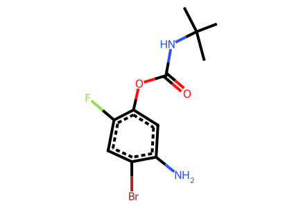 CC(C)(C)NC(=O)Oc1cc(N)c(Br)cc1F